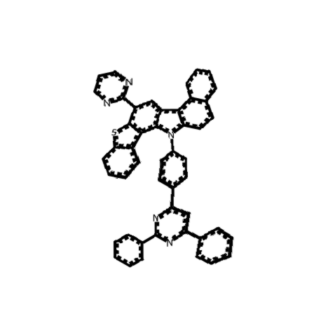 c1ccc(-c2cc(-c3ccc(-n4c5ccc6ccccc6c5c5cc(-c6ncccn6)c6sc7ccccc7c6c54)cc3)nc(-c3ccccc3)n2)cc1